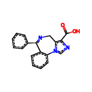 O=C(O)c1ncn2c1CN=C(c1ccccc1)c1ccccc1-2